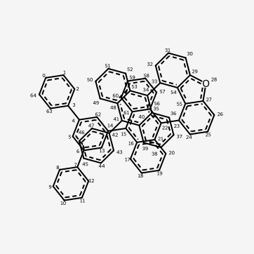 c1ccc(-c2cc(-c3ccccc3)cc(-c3c4ccccc4c(-c4cccc5oc6cccc(-c7c8ccccc8c(-c8ccccc8)c8ccccc78)c6c45)c4ccccc34)c2)cc1